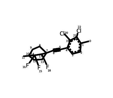 Cc1ccc(C#CC23CCC(C)(CC2)C(F)(F)C3F)c(Cl)c1Cl